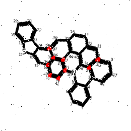 c1ccc(-c2ccccc2N(c2ccc3cc4sc5ccccc5c4cc3c2)c2cccc3ccc4ccc5ccccc5c4c23)cc1